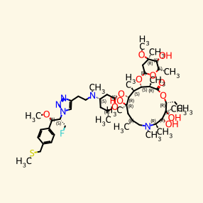 CC[C@H]1OC(=O)[C@H](C)[C@@H](O[C@H]2C[C@@](C)(OC)[C@@H](O)[C@H](C)O2)[C@H](C)[C@@H](O[C@H]2C[C@@H](N(C)CCc3cn([C@H](CF)[C@H](OC)c4ccc(CSC)cc4)nn3)C[C@@H](C)O2)[C@](C)(O)C[C@@H](C)CN(C)[C@H](C)[C@@H](O)[C@]1(C)O